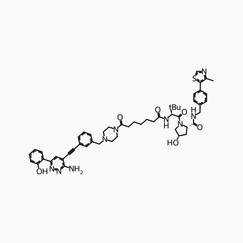 Cc1ncsc1-c1ccc(CNC(=O)[C@@H]2C[C@@H](O)CN2C(=O)[C@@H](NC(=O)CCCCCC(=O)N2CCN(Cc3cccc(C#Cc4cc(-c5ccccc5O)nnc4N)c3)CC2)C(C)(C)C)cc1